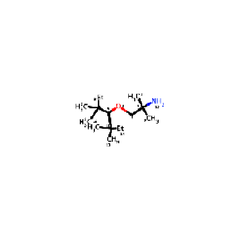 CCC(C)(C)C(OCC(C)(C)N)C(C)(C)CC